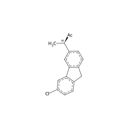 CC(=O)[C@H](C)c1ccc2c(c1)-c1cc(Cl)ccc1C2